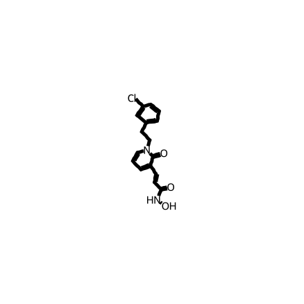 O=C(/C=C/c1cccn(CCc2cccc(Cl)c2)c1=O)NO